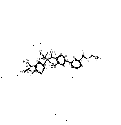 CCOC(=O)c1cccc(-c2ccc(C(C)C(O)(c3ccc4oc(=O)n(C)c4c3)C(F)(F)F)c(Cl)c2)n1